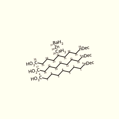 CCCCCCCCCCCCCCCCCC(=O)O.CCCCCCCCCCCCCCCCCC(=O)O.CCCCCCCCCCCCCCCCCC(=O)O.[BaH2].[CaH2].[Zn]